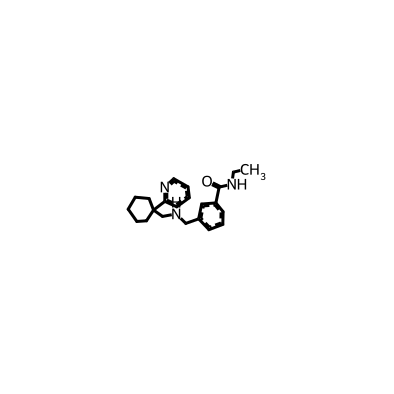 CCNC(=O)c1cccc(CNCC2(c3ccccn3)CCCCC2)c1